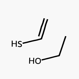 C=CS.CCO